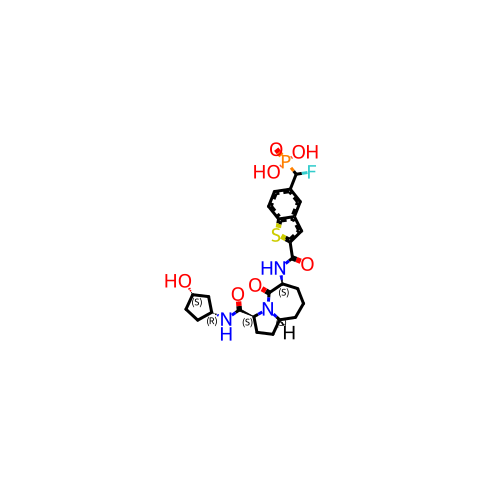 O=C(N[C@H]1CCC[C@H]2CC[C@@H](C(=O)N[C@@H]3CC[C@H](O)C3)N2C1=O)c1cc2cc(C(F)P(=O)(O)O)ccc2s1